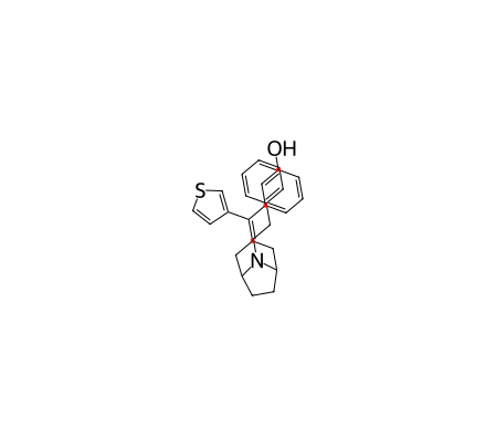 Oc1cccc(C(=C2CC3CCC(C2)N3CCc2ccccc2)c2ccsc2)c1